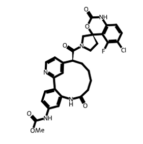 COC(=O)Nc1ccc2c(c1)NC(=O)CCCC[C@H](C(=O)N1CC[C@@]3(C1)OC(=O)Nc1ccc(Cl)c(F)c13)c1ccnc-2c1